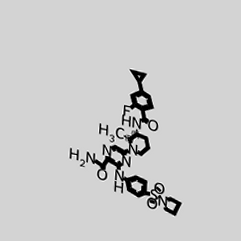 C[C@@H]1[C@H](NC(=O)c2ccc(C3CC3)cc2F)CCCN1c1cnc(C(N)=O)c(Nc2ccc(S(=O)(=O)N3CCCC3)cc2)n1